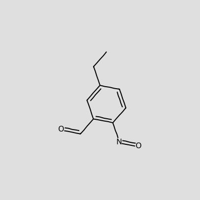 CCc1ccc(N=O)c(C=O)c1